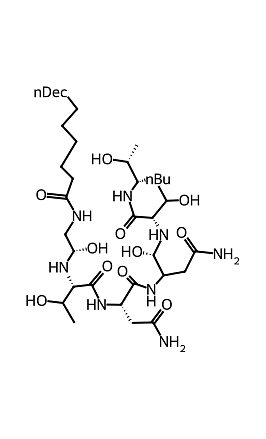 CCCCCCCCCCCCCCCC(=O)NC[C@H](O)N[C@H](C(=O)N[C@@H](CC(N)=O)C(=O)NC(CC(N)=O)[C@H](O)N[C@H](C(=O)N[C@@H](CCCC)[C@@H](C)O)C(C)O)C(C)O